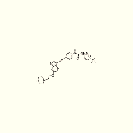 CC(C)(C)C1C#CC(NC(=O)Nc2ccc(C#Cc3cnc4cc(OCCN5CCOCC5)cnn34)cc2)=NO1